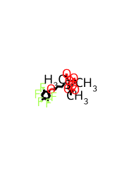 CC(=O)O[Si](CCCCOc1c(F)c(F)c(F)c(F)c1F)(OC(C)=O)OC(C)=O